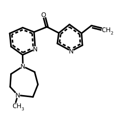 C=Cc1cncc(C(=O)c2cccc(N3CCCN(C)CC3)n2)c1